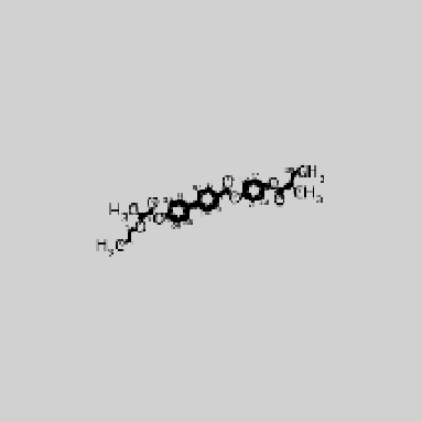 CCCO[C@@H](C)C(=O)Oc1ccc(-c2ccc(C(=O)Oc3ccc(OC(=O)[C@@H](C)CC)cc3)cc2)cc1